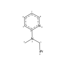 CC(C)CN(C)c1ccccn1